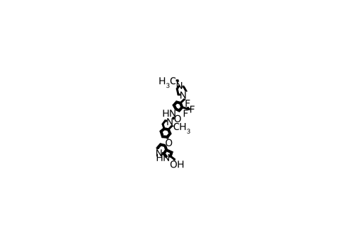 CCN1CCN(Cc2ccc(NC(=O)N3CCc4ccc(Oc5ccnc6[nH]c(CO)cc56)cc4[C@@H]3C)cc2C(F)(F)F)CC1